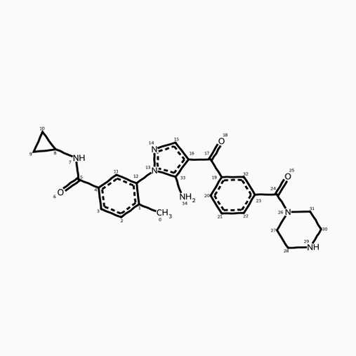 Cc1ccc(C(=O)NC2CC2)cc1-n1ncc(C(=O)c2cccc(C(=O)N3CCNCC3)c2)c1N